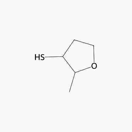 CC1OCCC1S